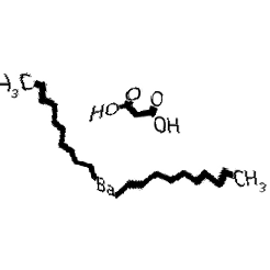 CCCCCCCCCC[CH2][Ba][CH2]CCCCCCCCCC.O=C(O)CC(=O)O